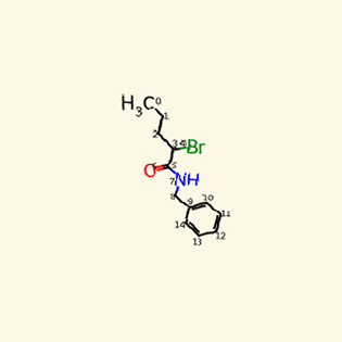 CCCC(Br)C(=O)NCc1ccccc1